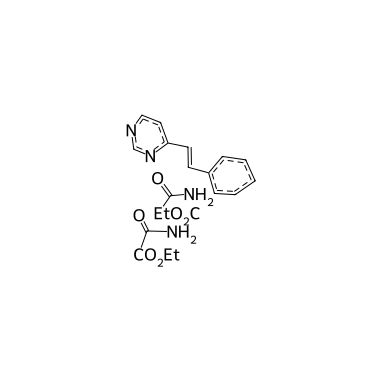 C(=Cc1ccncn1)c1ccccc1.CCOC(=O)C(N)=O.CCOC(=O)C(N)=O